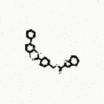 Nc1ccc(-c2ccccc2)cc1NC(=O)c1ccc(CNC(=O)c2cc3ccccc3o2)cc1